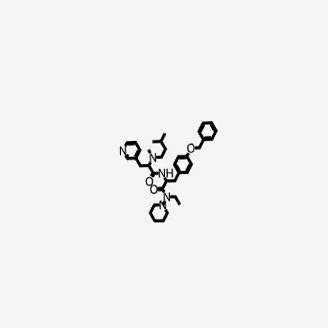 CCN(C(=O)C(Cc1ccc(OCc2ccccc2)cc1)NC(=O)C(Cc1cccnc1)N(C)CCC(C)C)N1CCCCC1